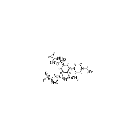 CC(C)CN1CCN(c2cc(S(=O)(=O)NC3(C#N)CC3)cc3c(-c4nnc(C(F)F)s4)nn(C)c23)CC1